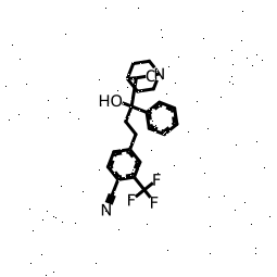 N#Cc1ccc(CCC(O)(c2ccccc2)C2CN3CCC2CC3)cc1C(F)(F)F